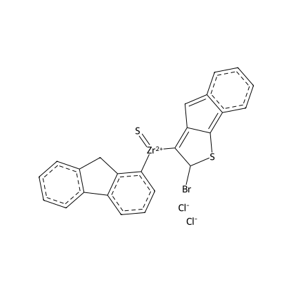 [Cl-].[Cl-].[S]=[Zr+2]([C]1=C2C=c3ccccc3=C2SC1Br)[c]1cccc2c1Cc1ccccc1-2